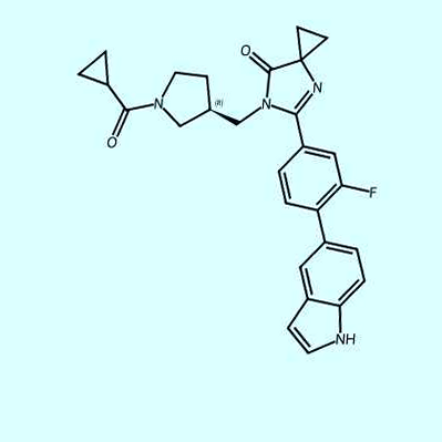 O=C(C1CC1)N1CC[C@@H](CN2C(=O)C3(CC3)N=C2c2ccc(-c3ccc4[nH]ccc4c3)c(F)c2)C1